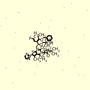 C=C/C(OCc1ccccc1)=C(\C=C(/C)F)[C@H](Cn1c(=O)n(C(C)(C)C(=O)NC(C)C)c(=O)c2c(C)c(-n3nccn3)sc21)OCC(C)(C)O